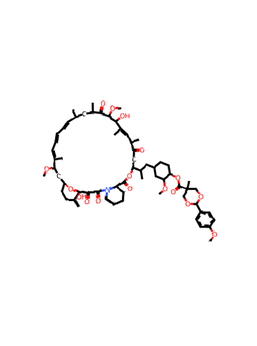 COc1ccc(C2OCC(C)(C(=O)OC3CCC(CC(C)C4CC(=O)C(C)/C=C(\C)C(O)C(OC)C(=O)C(C)CC(C)/C=C/C=C/C=C(\C)C(OC)CC5CCC(C)C(O)(O5)C(=O)C(=O)N5CCCCC5C(=O)O4)CC3OC)CO2)cc1